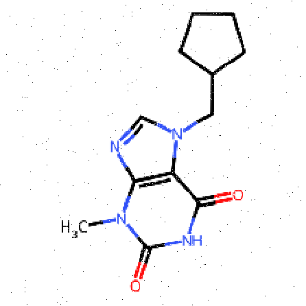 Cn1c(=O)[nH]c(=O)c2c1ncn2CC1CCCC1